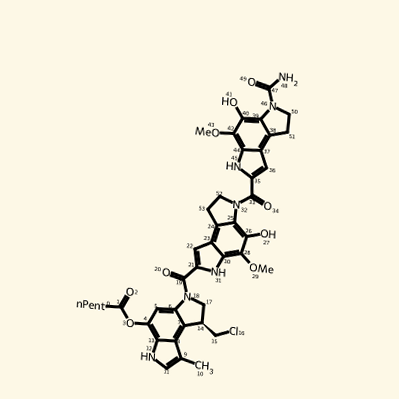 CCCCCC(=O)Oc1cc2c(c3c(C)c[nH]c13)[C@H](CCl)CN2C(=O)c1cc2c3c(c(O)c(OC)c2[nH]1)N(C(=O)c1cc2c4c(c(O)c(OC)c2[nH]1)N(C(N)=O)CC4)CC3